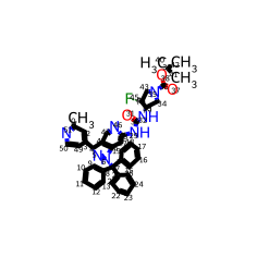 Cc1cc(-c2nn(C(c3ccccc3)(c3ccccc3)c3ccccc3)c3cc(NC(=O)N[C@@H]4CN(C(=O)OC(C)(C)C)C[C@H]4F)ncc23)ccn1